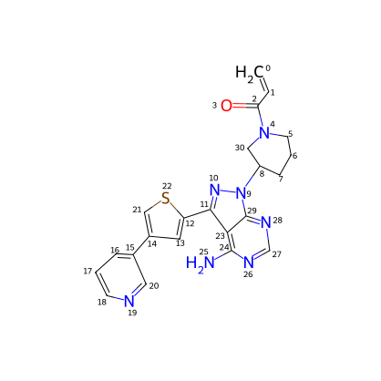 C=CC(=O)N1CCCC(n2nc(-c3cc(-c4cccnc4)cs3)c3c(N)ncnc32)C1